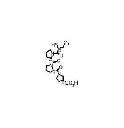 CC(C)C[C@H](S)C(=O)N1CCC[C@H]1C(=O)N1CCC[C@H]1C(=O)N1CC[C@H](C(=O)O)C1